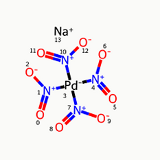 O=[N+]([O-])[Pd-]([N+](=O)[O-])([N+](=O)[O-])[N+](=O)[O-].[Na+]